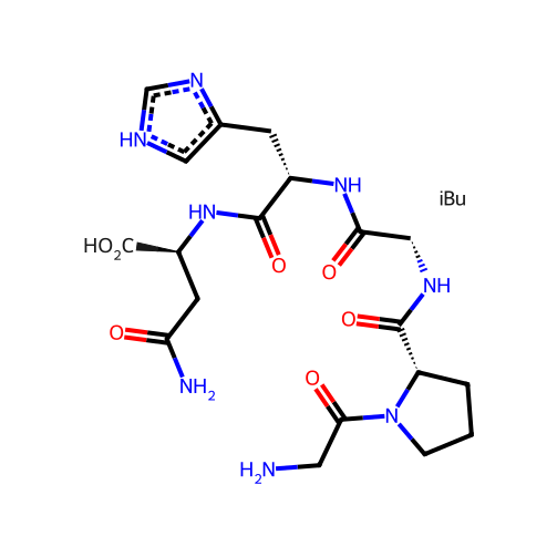 CC[C@H](C)[C@H](NC(=O)[C@@H]1CCCN1C(=O)CN)C(=O)N[C@@H](Cc1c[nH]cn1)C(=O)N[C@@H](CC(N)=O)C(=O)O